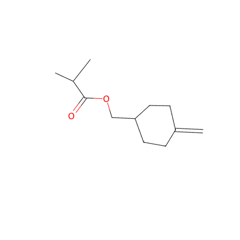 C=C1CCC(COC(=O)C(C)C)CC1